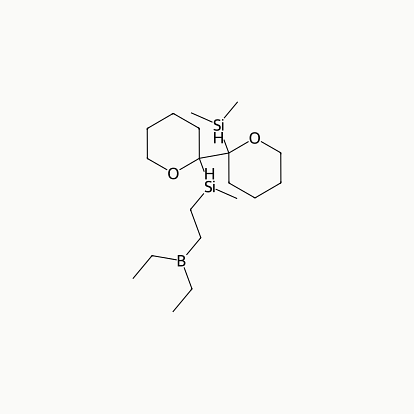 CCB(CC)CC[SiH](C)C1(C2([SiH](C)C)CCCCO2)CCCCO1